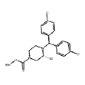 CC[C@@H]1CN(C(=O)OC(C)(C)C)CCN1C(c1ccc(Cl)cc1)c1ccc(Cl)cc1